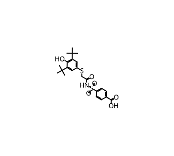 CC(C)(C)c1cc(SCC(=O)NS(=O)(=O)c2ccc(C(=O)O)cc2)cc(C(C)(C)C)c1O